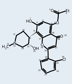 CCC(=O)Oc1cc(O)c([C@H]2CCN(C)C[C@H]2O)c2oc(-c3ccccc3Cl)cc(=O)c12